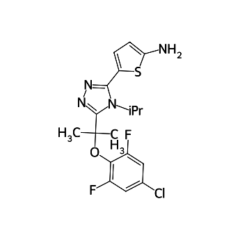 CC(C)n1c(-c2ccc(N)s2)nnc1C(C)(C)Oc1c(F)cc(Cl)cc1F